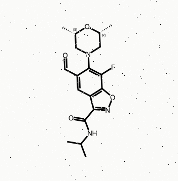 CC(C)NC(=O)c1noc2c(F)c(N3C[C@@H](C)O[C@@H](C)C3)c(C=O)cc12